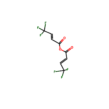 O=C(/C=C/C(F)(F)F)OC(=O)/C=C/C(F)(F)F